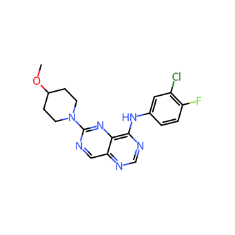 COC1CCN(c2ncc3ncnc(Nc4ccc(F)c(Cl)c4)c3n2)CC1